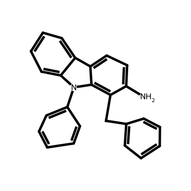 Nc1ccc2c3ccccc3n(-c3ccccc3)c2c1Cc1ccccc1